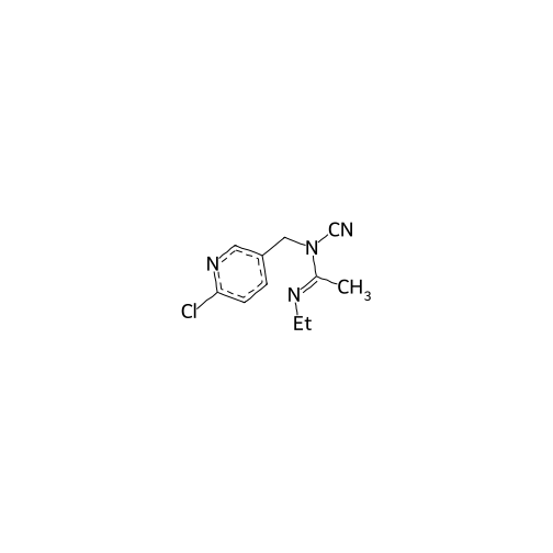 CCN=C(C)N(C#N)Cc1ccc(Cl)nc1